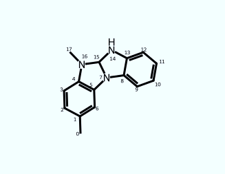 Cc1ccc2c(c1)N1c3ccccc3NC1N2C